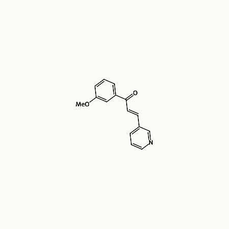 COc1cccc(C(=O)/C=C/c2cccnc2)c1